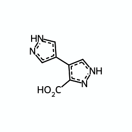 O=C(O)c1n[nH]cc1-c1cn[nH]c1